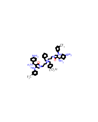 Nc1ccc([C@@H](N)C2=C(Nc3cccc(C(F)(F)F)c3)CN(CCC[N+](CCCN3CC(Nc4cccc(C(F)(F)F)c4)=C([C@H](N)c4ccc(N)cc4)C3=O)(Cc3ccccc3)Cc3ccc(C(=O)O)cc3)C2=O)cc1